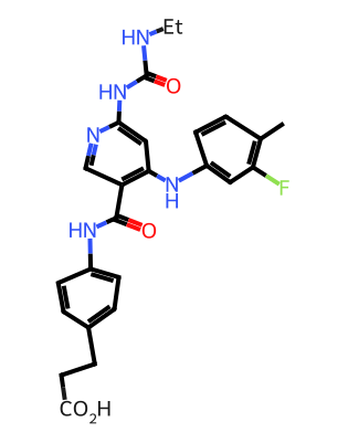 CCNC(=O)Nc1cc(Nc2ccc(C)c(F)c2)c(C(=O)Nc2ccc(CCC(=O)O)cc2)cn1